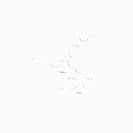 C=CC(=O)N1CCN(c2nc(N3CC(N(CC)CC)C3)nc3c(=O)n(-c4c(C)cccc4N)c(C(F)(F)F)cc23)CC1